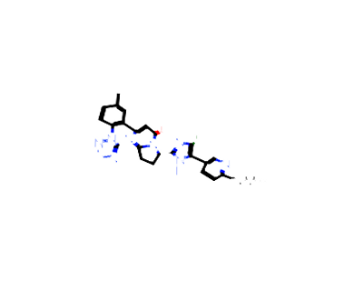 CNc1ccc(-c2[nH]c([C@@H]3CCc4nc(-c5cc(C)ccc5-n5cnnn5)cc(=O)n43)nc2Cl)cn1